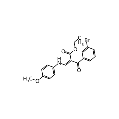 CCOC(=O)C(=CNc1ccc(OC)cc1)C(=O)c1cccc(Br)c1